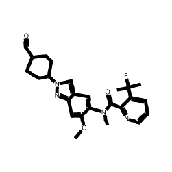 COc1cc2nn(C3CCC(C=O)CC3)cc2cc1N(C)C(=O)c1ncccc1C(C)(C)F